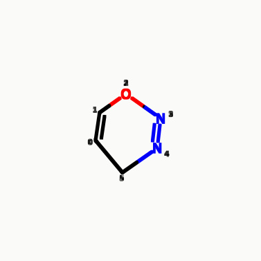 C1=CON=NC1